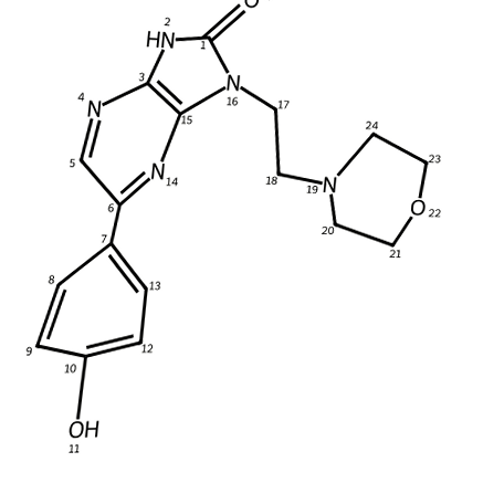 O=c1[nH]c2ncc(-c3ccc(O)cc3)nc2n1CCN1CCOCC1